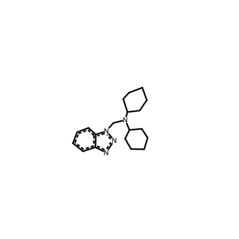 c1ccc2c(c1)nnn2CN(C1CCCCC1)C1CCCCC1